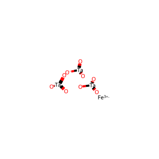 [Fe+3].[O]=[Ta](=[O])[O-].[O]=[Ta](=[O])[O-].[O]=[Ta](=[O])[O-]